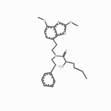 CCCCC(N)C(=O)N(CCc1ccccc1)CCc1ccc(OC)c2nc(OC)sc12